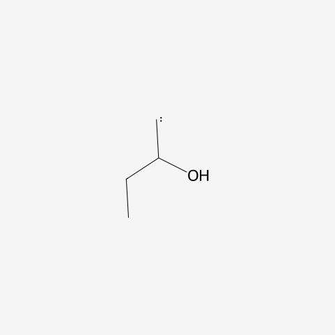 [CH]C(O)CC